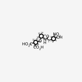 O=C(Cc1ccc(O)c([N+](=O)[O-])c1)Nc1ccccc1Oc1ccc(C(=O)O)c(C(=O)O)c1